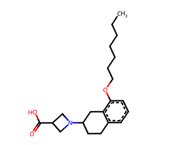 CCCCCCCOc1cccc2c1CC(N1CC(C(=O)O)C1)CC2